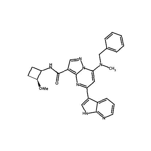 CO[C@H]1CCC1NC(=O)c1cnn2c(N(C)Cc3ccccc3)cc(-c3c[nH]c4ncccc34)nc12